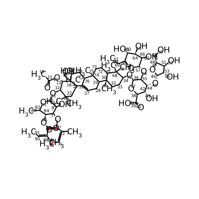 C/C=C(/C)C(=O)O[C@@H]1C(O)[C@H](O[C@H]2[C@H](OC(C)=O)[C@@]3(CO)C(CC2(C)C)C2=CCC4[C@@]5(C)CCC(O[C@@H]6OC(C(=O)O)[C@@H](O)[C@@H](O[C@@H]7O[C@@H](CO)C(O)[C@@H]7O)C6O[C@@H]6OC(CC)[C@H](O)[C@@H](O)C6O)C(C)(C)C5CC[C@@]4(C)[C@]2(C)C[C@H]3O)OC(C)[C@@H]1OC(=O)/C(C)=C\C